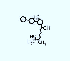 C[C@@H]1CCC(C(O)CCCC[C@@H](C)[C@H](C)O)CC1C1CCC(C2CCCCC2)CC1